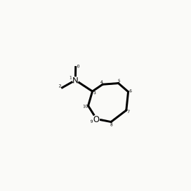 CN(C)C1CCCCCOC1